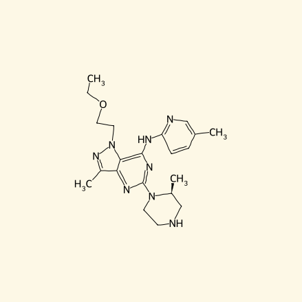 CCOCCn1nc(C)c2nc(N3CCNC[C@@H]3C)nc(Nc3ccc(C)cn3)c21